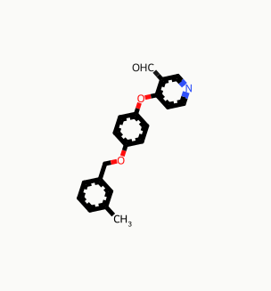 Cc1cccc(COc2ccc(Oc3ccncc3C=O)cc2)c1